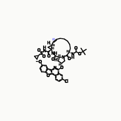 COc1ccc2oc3c4ccc(Cl)cc4c(O[C@@H]4C[C@H]5C(=O)N[C@]6(C(=O)NS(=O)(=O)C7CC7)C[C@H]6/C=C\CCCCC[C@H](NC(=O)OC(C)(C)C)C(=O)N5C4)nc3c2c1